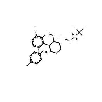 O=S(=O)(NC[C@@H]1CCC[C@@]2(S(=O)(=O)c3ccc(Cl)cc3)c3c(F)ccc(F)c3OC[C@@H]12)C(F)(F)F